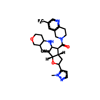 COC1COCCC1N[C@@H]1C[C@H]2OC(c3ccnn3C)C[C@H]2[C@@H]1C(=O)N1CCc2ncc(C(F)(F)F)cc2C1